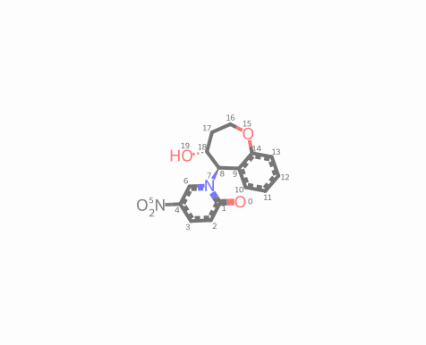 O=c1ccc([N+](=O)[O-])cn1[C@@H]1c2ccccc2OCC[C@H]1O